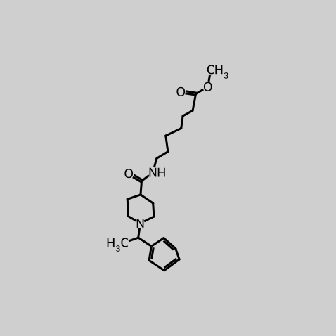 COC(=O)CCCCCCNC(=O)C1CCN(C(C)c2ccccc2)CC1